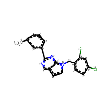 O=C(O)c1cccc(-c2ncc3ccn(Cc4ccc(Cl)cc4Cl)c3n2)c1